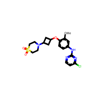 COc1cc(Nc2nccc(Cl)n2)ccc1OC1CC(N2CCS(=O)(=O)CC2)C1